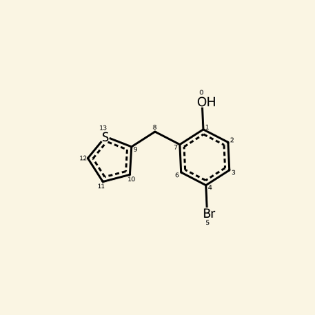 Oc1ccc(Br)cc1Cc1cccs1